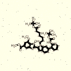 COC(=O)c1cc(OC)c2c(c1)nc(-c1cc3ccc(-c4cccnc4NC(=O)OC(C)(C)C)cc3n1CCCCCCC(=O)OC(C)(C)C)n2C